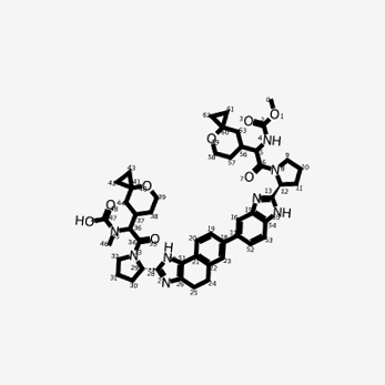 COC(=O)NC(C(=O)N1CCC[C@H]1c1nc2cc(-c3ccc4c(c3)CCc3nc([C@@H]5CCCN5C(=O)C(C5CCOC6(CC6)C5)N(C)C(=O)O)[nH]c3-4)ccc2[nH]1)C1CCOC2(CC2)C1